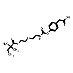 CCC(C)(C)C(=O)OCCOCCNC(=O)Oc1ccc(CC(=O)O)cc1